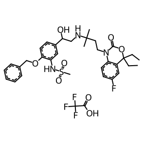 CCC1(CC)OC(=O)N(CCC(C)(C)NCC(O)c2ccc(OCc3ccccc3)c(NS(C)(=O)=O)c2)c2ccc(F)cc21.O=C(O)C(F)(F)F